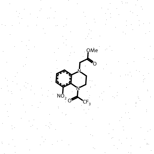 COC(=O)CN1CCN(C(=O)C(F)(F)F)c2c1cccc2[N+](=O)[O-]